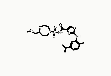 COCC1CCN(S(=O)(=O)NC(=O)c2coc(Nc3cc(C(C)C)ccc3C)n2)CCO1